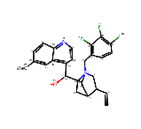 C=CC1C[N+]2(Cc3ccc(F)c(F)c3F)CCC1CC2[C@@H](O)c1ccnc2ccc(OC)cc12